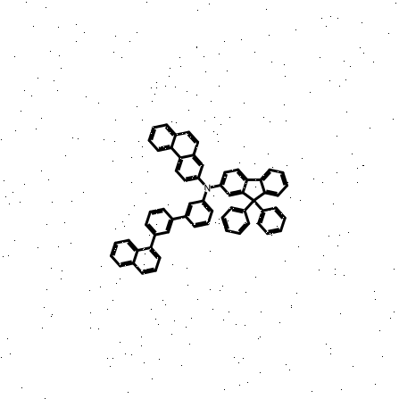 c1ccc(C2(c3ccccc3)c3ccccc3-c3ccc(N(c4cccc(-c5cccc(-c6cccc7ccccc67)c5)c4)c4ccc5c(ccc6ccccc65)c4)cc32)cc1